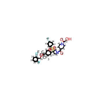 O=C(CO)N1CCC(C(=O)N2CC[C@](c3ccc(C(OCc4c(F)cccc4F)(C(F)(F)F)C(F)(F)F)cc3)(S(=O)(=O)c3ccc(F)cc3)C2)CC1